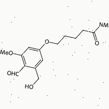 CNC(=O)CCCCOc1cc(CO)c(C=O)c(OC)c1